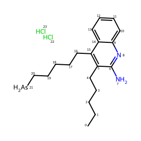 CCCCCc1c(N)nc2ccccc2c1CCCCC[AsH2].Cl.Cl